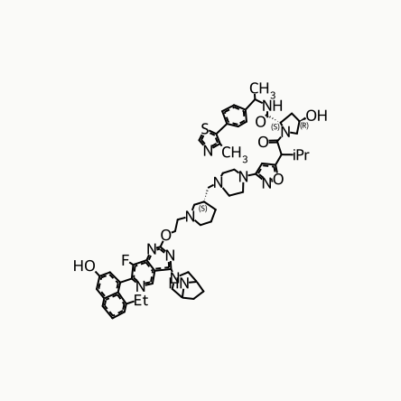 CCc1cccc2cc(O)cc(-c3ncc4c(N5CC6CCC(C5)N6)nc(OCCN5CCC[C@@H](CN6CCN(c7cc(C(C(=O)N8C[C@H](O)C[C@H]8C(=O)NC(C)c8ccc(-c9scnc9C)cc8)C(C)C)on7)CC6)C5)nc4c3F)c12